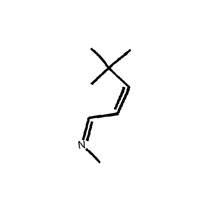 C/N=C\C=C/C(C)(C)C